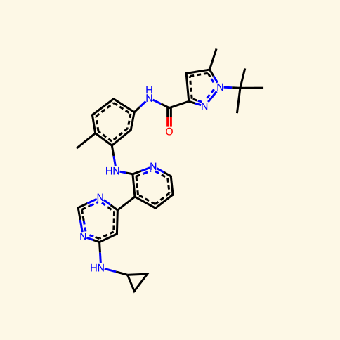 Cc1ccc(NC(=O)c2cc(C)n(C(C)(C)C)n2)cc1Nc1ncccc1-c1cc(NC2CC2)ncn1